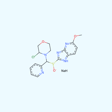 COc1ccc2[nH]c([S+]([O-])C(c3ccccn3)N3CCOCC3Cl)nc2n1.[NaH]